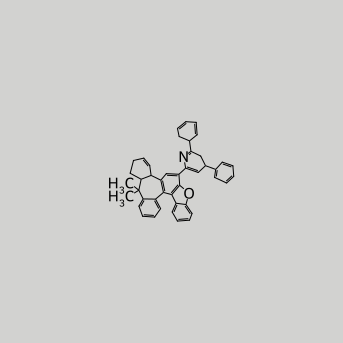 CC1(C)c2ccccc2-c2c(cc(C3=CC(c4ccccc4)CC(C4C=CC=CC4)=N3)c3oc4ccccc4c23)C2C=CCCC21